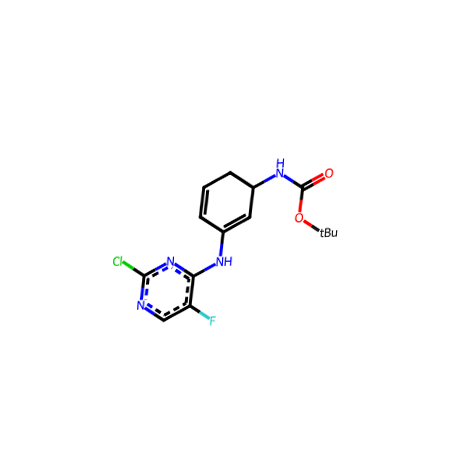 CC(C)(C)OC(=O)NC1C=C(Nc2nc(Cl)ncc2F)C=CC1